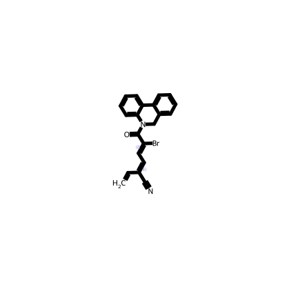 C=C/C(C#N)=C\C=C(/Br)C(=O)N1Cc2ccccc2-c2ccccc21